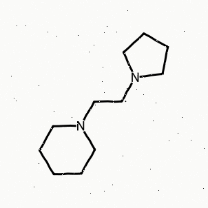 [CH](CN1CCCCC1)N1CCCC1